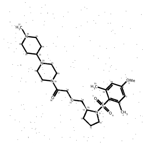 COc1cc(C)c(S(=O)(=O)N2CCC[C@H]2COCC(=O)N2CCN(C3CCN(C)CC3)CC2)c(C)c1